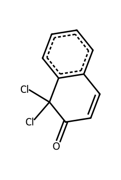 O=C1C=Cc2ccccc2C1(Cl)Cl